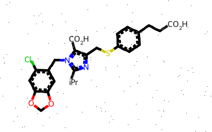 CC(C)c1nc(CSc2ccc(CCC(=O)O)cc2)c(C(=O)O)n1Cc1cc2c(cc1Cl)OCO2